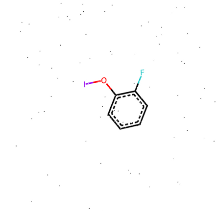 Fc1ccccc1OI